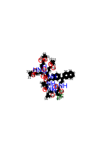 Cc1ccccc1C[C@H](NC(=O)[C@H](CCC(=O)OC(C)(C)C)NC(=O)[C@H](CC(=O)OC(C)(C)C)NC(=O)CCC(=O)OC(C)(C)C)C(=O)N[C@H](C(=O)N[C@@H](CC(C)C)C(=O)NC(CC(F)(F)F)C(=O)C(=O)NCCCc1ccc2ccccc2c1)C(C)(C)C